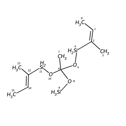 CC=C(C)[SiH2]OC(C)(O[SiH3])O[SiH2]C(C)=CC